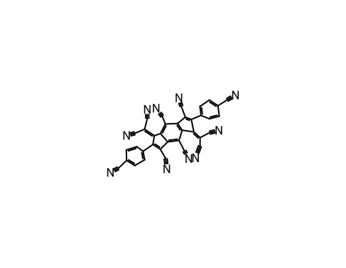 N#CC(C#N)=C1C(c2ccc(C#N)cc2)=C(C#N)c2c(C#N)c3c(c(C#N)c21)C(C#N)=C(c1ccc(C#N)cc1)C3=C(C#N)C#N